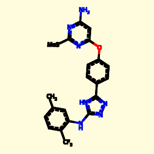 CSc1nc(N)cc(Oc2ccc(-c3nnc(Nc4cc(C)ccc4C(F)(F)F)[nH]3)cc2)n1